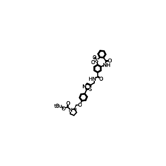 CC(C)(C)OC(=O)N1CCC[C@@H]1COc1ccc(-c2ncc(CNC(=O)c3ccc4c(c3)NC(=O)c3ccccc3S4(=O)=O)s2)cc1